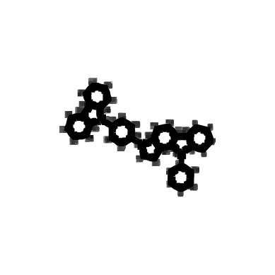 c1ccc(-n2c3ccccc3c3ccc4c(ccn4-c4ccc(-n5c6ccccc6c6ccccc65)cc4)c32)cc1